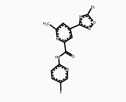 CCc1nc(-c2cc(C)nc(C(=O)Nc3ccc(F)cn3)c2)no1